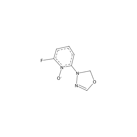 [O-][n+]1c(F)cccc1N1COC=N1